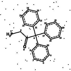 O=C(CP)C(c1ccccc1)(c1ccccc1)c1ccccc1